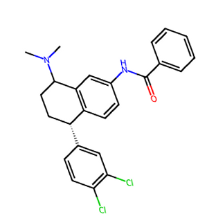 CN(C)C1CC[C@@H](c2ccc(Cl)c(Cl)c2)c2ccc(NC(=O)c3ccccc3)cc21